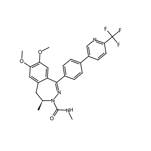 CNC(=O)N1N=C(c2ccc(-c3ccc(C(F)(F)F)nc3)cc2)c2cc(OC)c(OC)cc2C[C@@H]1C